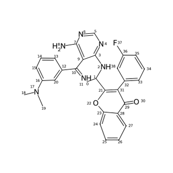 CC(Nc1ncnc(N)c1C(=N)c1cccc(N(C)C)c1)c1oc2ccccc2c(=O)c1-c1cccc(F)c1